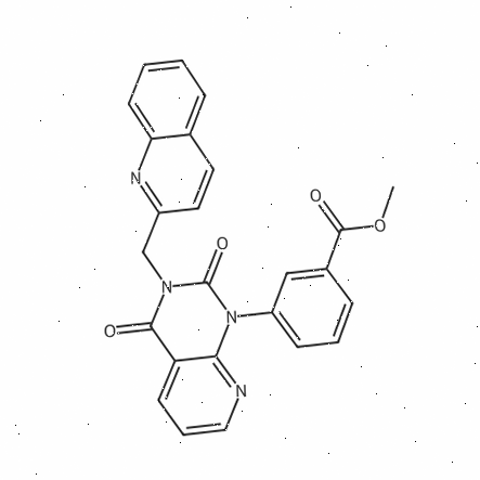 COC(=O)c1cccc(-n2c(=O)n(Cc3ccc4ccccc4n3)c(=O)c3cccnc32)c1